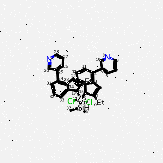 CCC1=Cc2c(-c3cccnc3)cccc2[CH]1[Zr]([Cl])([Cl])([CH]1C(CC)=Cc2c(-c3cccnc3)cccc21)[SiH](C)C